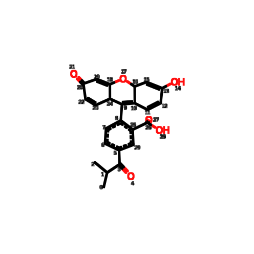 CC(C)C(=O)c1ccc(C2=C3C=CC(O)=CC3OC3=CC(=O)C=CC32)c(C(=O)O)c1